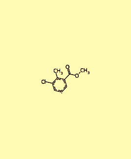 COC(=O)c1c[c]cc(Cl)c1C